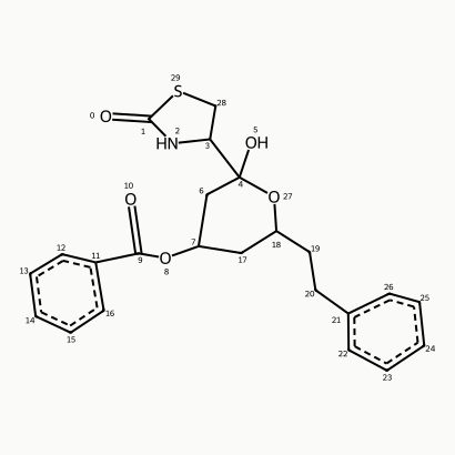 O=C1NC(C2(O)CC(OC(=O)c3ccccc3)CC(CCc3ccccc3)O2)CS1